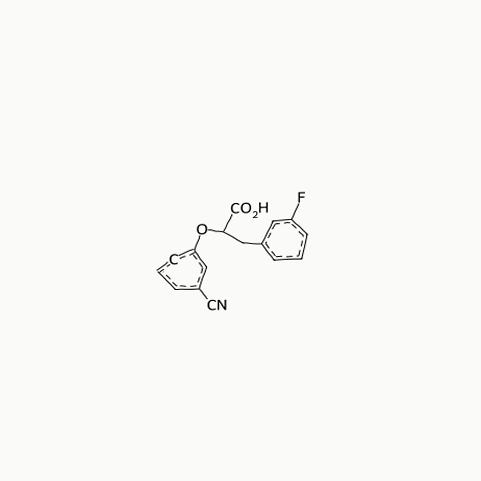 N#Cc1cccc(OC(Cc2cccc(F)c2)C(=O)O)c1